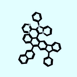 C1=CCN2C(=C1)N(c1ccccc1)C(c1ncccn1)=C2c1c2ccccc2c(-c2ccc3ccccc3c2)c2cc3c(cc12)-c1ccccc1C3c1ccccc1